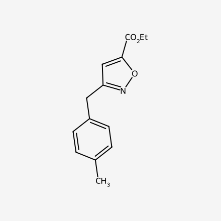 CCOC(=O)c1cc(Cc2ccc(C)cc2)no1